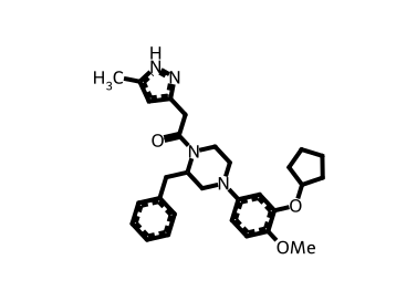 COc1ccc(N2CCN(C(=O)Cc3cc(C)[nH]n3)C(Cc3ccccc3)C2)cc1OC1CCCC1